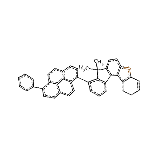 CC1(C)c2ccc3sc4c(c3c2-c2cccc(-c3ccc5ccc6c(-c7ccccc7)ccc7ccc3c5c76)c21)CCC=C4